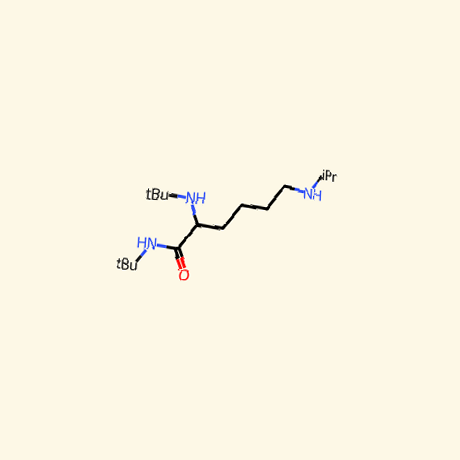 CC(C)NCCCCC(NC(C)(C)C)C(=O)NC(C)(C)C